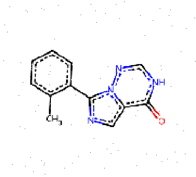 Cc1ccccc1-c1ncc2c(=O)[nH]cnn12